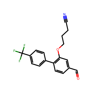 N#CCCCOc1cc(C=O)ccc1-c1ccc(C(F)(F)F)cc1